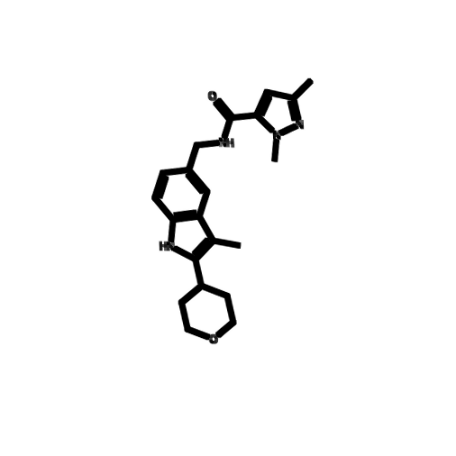 Cc1cc(C(=O)NCc2ccc3[nH]c(C4CCOCC4)c(C)c3c2)n(C)n1